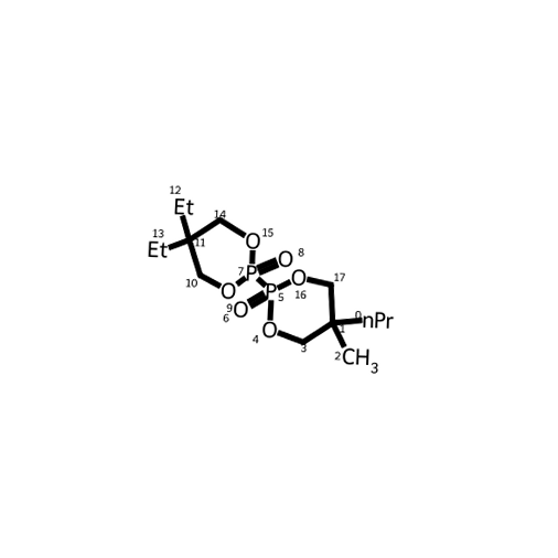 CCCC1(C)COP(=O)(P2(=O)OCC(CC)(CC)CO2)OC1